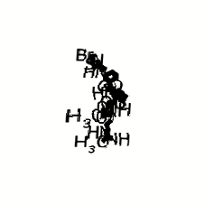 COC(=O)[C@H](CCCNC(C)=N)NC(=O)c1sccc1NS(=O)(=O)c1cccc(NCc2csc(Br)n2)c1